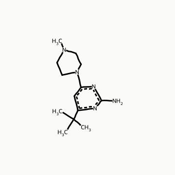 CN1CCN(c2cc(C(C)(C)C)nc(N)n2)CC1